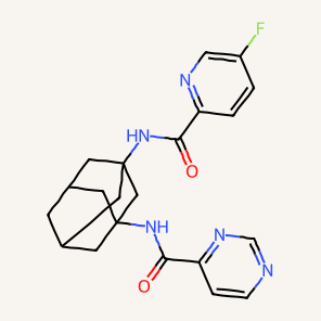 O=C(NC12CC3CC(C1)CC(NC(=O)c1ccc(F)cn1)(C3)C2)c1ccncn1